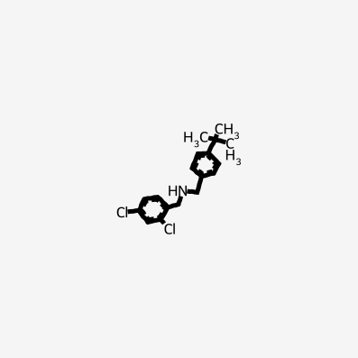 CC(C)(C)c1ccc(CNCc2ccc(Cl)cc2Cl)cc1